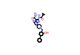 N#CCC1(n2cc(C(N)=O)c(NC(=O)C3CC3)n2)CCN(Cc2ccc(-c3ccccc3)cc2O)CC1